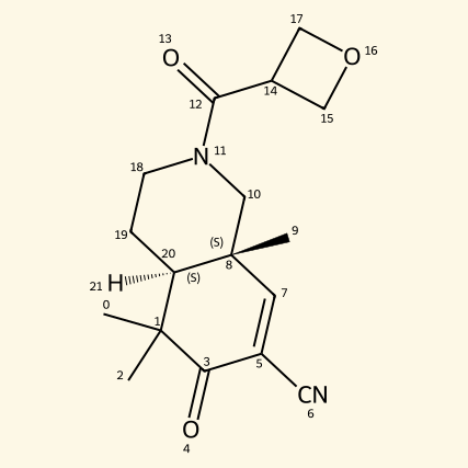 CC1(C)C(=O)C(C#N)=C[C@@]2(C)CN(C(=O)C3COC3)CC[C@H]12